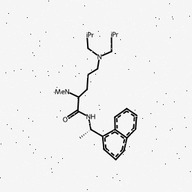 CNC(CCCN(CC(C)C)CC(C)C)C(=O)N[C@@H](C)c1cccc2ccccc12